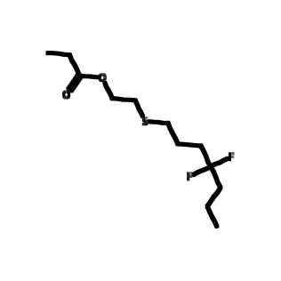 CCCC(F)(F)CCCSCCOC(=O)CC